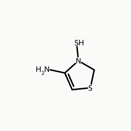 NC1=CSCN1S